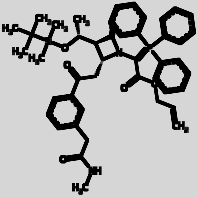 C=CCOC(=O)C(N1C(=O)[C@H]([C@@H](C)O[Si](C)(C)C(C)(C)C)[C@H]1CC(=O)c1cccc(CC(=O)NC)c1)=P(c1ccccc1)(c1ccccc1)c1ccccc1